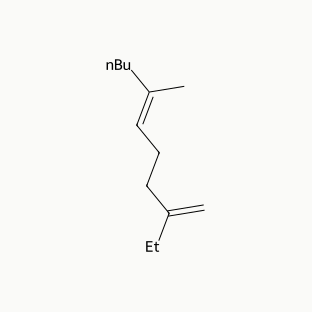 C=C(CC)CCC=C(C)CCCC